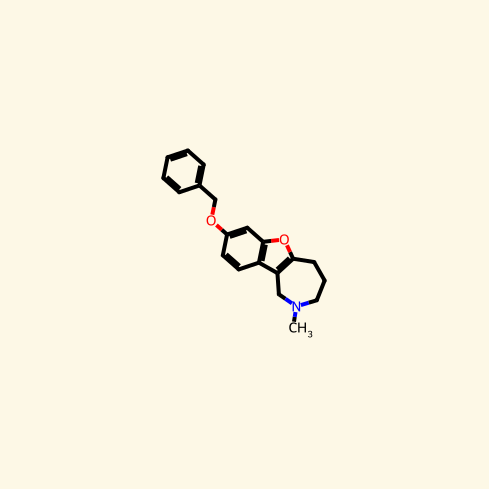 CN1CCCc2oc3cc(OCc4ccccc4)ccc3c2C1